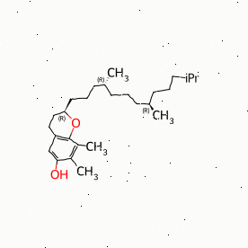 Cc1c(O)cc2c(c1C)O[C@H](CCC[C@H](C)CCC[C@H](C)CCCC(C)C)CC2